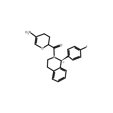 O=C(C1CCC([N+](=O)[O-])=CO1)N1CCc2ccccc2[C@@H]1c1ccc(F)cc1